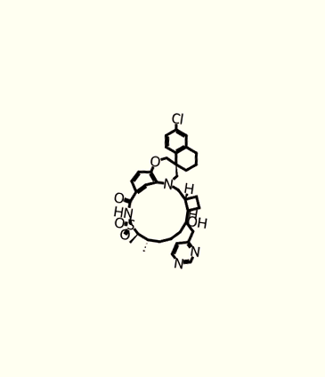 C[C@@H]1[C@@H](C)CCC[C@@](O)(Cc2ccncn2)[C@@H]2CC[C@H]2CN2C[C@@]3(CCCc4cc(Cl)ccc43)COc3ccc(cc32)C(=O)NS1(=O)=O